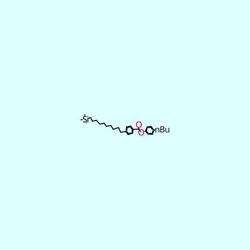 CCCCc1ccc(OC(=O)c2ccc(CCCCCCCCCC[Si](C)(C)C)cc2)cc1